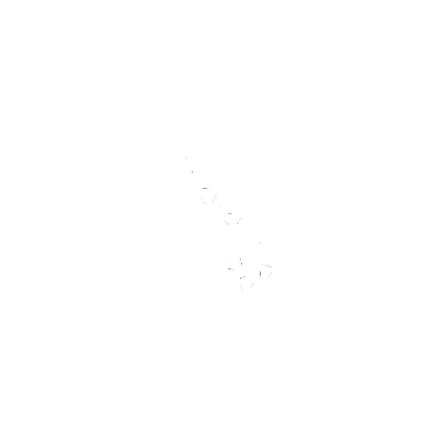 CC1(C)OC[C@H](COc2ccc(C(C)(C)c3ccc(OCC(O)COC(c4ccccc4)(c4ccccc4)c4ccccc4)cc3)cc2)O1